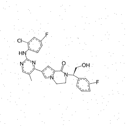 Cc1cnc(Nc2ccc(F)cc2Cl)nc1-c1cc2n(c1)CCN([C@@H](CO)c1cccc(F)c1)C2=O